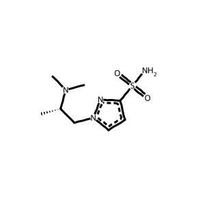 C[C@@H](Cn1ccc(S(N)(=O)=O)n1)N(C)C